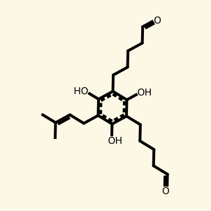 CC(C)=CCc1c(O)c(CCCCC=O)c(O)c(CCCCC=O)c1O